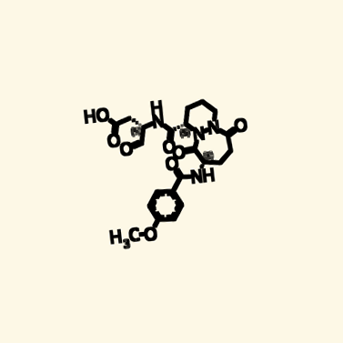 COc1ccc(C(=O)N[C@H]2CCC(=O)N3CCC[C@@H](C(=O)N[C@H](C=O)CC(=O)O)N3C2=O)cc1